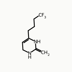 C=C1NCC=C(CCCC(F)(F)F)N1